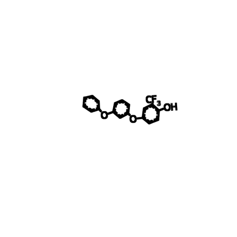 Oc1ccc(Oc2cccc(Oc3ccccc3)c2)cc1C(F)(F)F